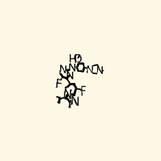 C=C(C)c1c(C)nc2c(F)cc(-c3nc(Nc4ccc(N5CCN(C)CC5)cc4OC)ncc3F)cn12